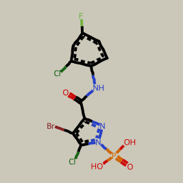 O=C(Nc1ccc(F)cc1Cl)c1nn(P(=O)(O)O)c(Cl)c1Br